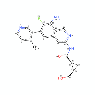 Cc1ccncc1-c1cc2cc(NC(=O)[C@H]3C[C@H]3CO)ncc2c(N)c1F